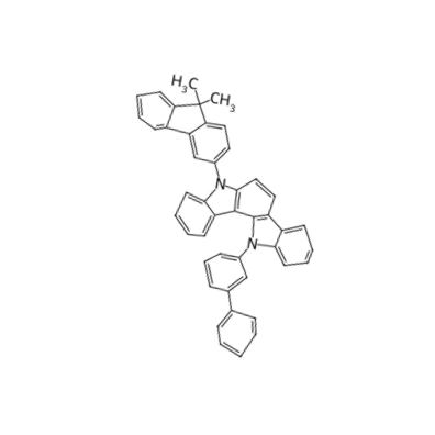 CC1(C)c2ccccc2-c2cc(-n3c4ccccc4c4c3ccc3c5ccccc5n(-c5cccc(-c6ccccc6)c5)c34)ccc21